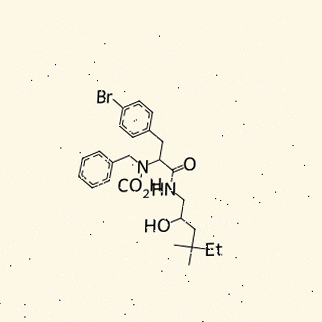 CCC(C)(C)CC(O)CNC(=O)C(Cc1ccc(Br)cc1)N(Cc1ccccc1)C(=O)O